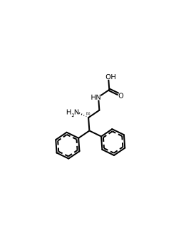 N[C@H](CNC(=O)O)C(c1ccccc1)c1ccccc1